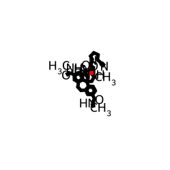 CNC(=O)c1ccc2c(c1)CCc1cc(C(=O)NC)ccc1C2(C[C@H](C)NCC(=O)N1CCCC1C#N)c1n[nH]c(=O)[nH]1